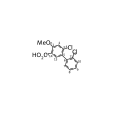 COc1cc(Cl)c(-c2ccccc2Cl)cc1C(=O)O